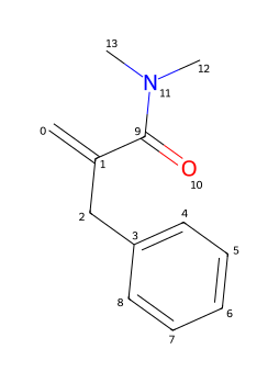 C=C(Cc1ccccc1)C(=O)N(C)C